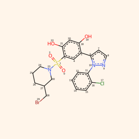 O=S(=O)(c1cc(-c2ccnn2-c2ccccc2Cl)c(O)cc1O)N1CCCC(CBr)C1